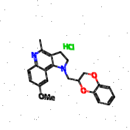 COc1ccc2nc(C)c3c(c2c1)N(CC1COc2ccccc2O1)CC3.Cl